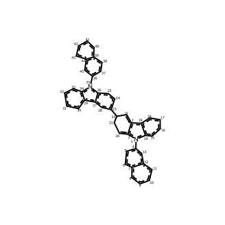 C1=c2c(n(-c3ccc4ccccc4c3)c3ccccc23)=CCC1c1ccc2c(c1)c1ccccc1n2-c1ccc2ccccc2c1